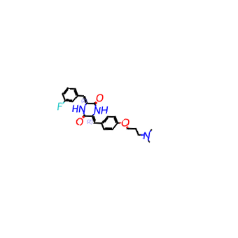 CN(C)CCCOc1ccc(/C=c2\[nH]c(=O)/c(=C/c3cccc(F)c3)[nH]c2=O)cc1